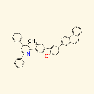 CC1C(c2ccc3c(c2)oc2ccc(-c4ccc5c(ccc6ccccc65)c4)cc23)=NC(c2ccccc2)=CC1c1ccccc1